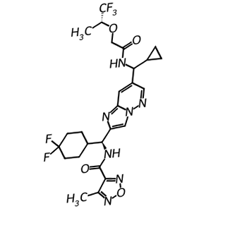 Cc1nonc1C(=O)N[C@H](c1cn2ncc(C(NC(=O)CO[C@H](C)C(F)(F)F)C3CC3)cc2n1)C1CCC(F)(F)CC1